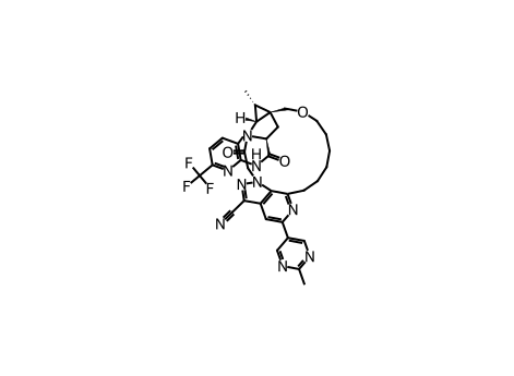 Cc1ncc(-c2cc3c(C#N)nn4c3c(n2)CCCCCCOC[C@@]23C[C@@H](C(=O)Nc5nc(C(F)(F)F)ccc5C)N(C(=O)C4)[C@@H]2[C@@H]3C)cn1